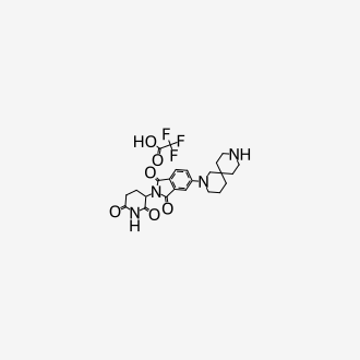 O=C(O)C(F)(F)F.O=C1CCC(N2C(=O)c3ccc(N4CCCC5(CCNCC5)C4)cc3C2=O)C(=O)N1